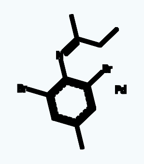 CCC(C)=Nc1c(Br)cc(C)cc1Br.[Pd]